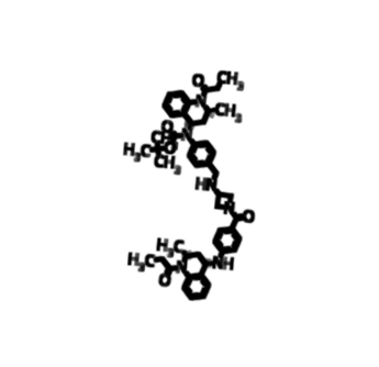 CCC(=O)N1c2ccccc2[C@H](N(C(=O)OC(C)(C)C)c2ccc(CNC3CN(C(=O)c4ccc(N[C@@H]5C[C@H](C)N(C(=O)CC)c6ccccc65)cc4)C3)cc2)C[C@@H]1C